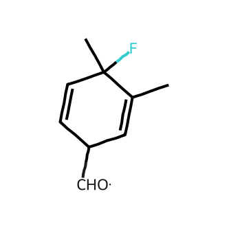 CC1=CC([C]=O)C=CC1(C)F